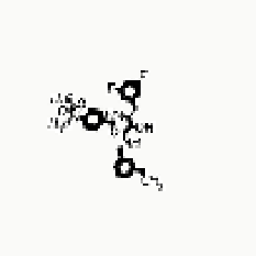 CCc1cccc(CNC[C@H](O)[C@H](Cc2cc(F)cc(F)c2)NC(=O)c2ccc(N(C)S(C)(=O)=O)cc2)c1